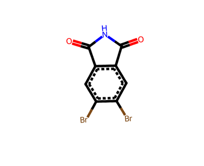 O=C1NC(=O)c2cc(Br)c(Br)cc21